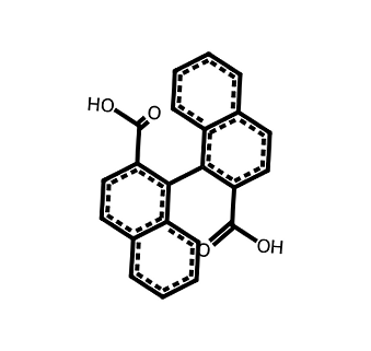 O=C(O)c1ccc2ccccc2c1-c1c(C(=O)O)ccc2ccccc12